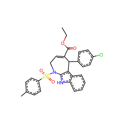 CCOC(=O)C1=CCN(S(=O)(=O)c2ccc(C)cc2)c2[nH]c3ccccc3c2C1c1ccc(Cl)cc1